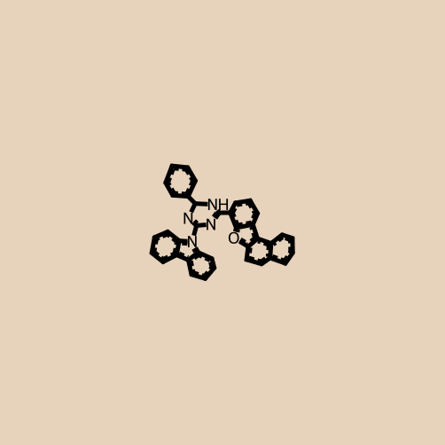 c1ccc(C2N=C(n3c4ccccc4c4ccccc43)N=C(c3cccc4c3oc3ccc5ccccc5c34)N2)cc1